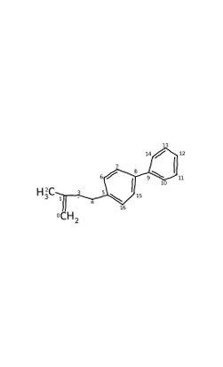 C=C(C)[CH]Cc1ccc(-c2ccccc2)cc1